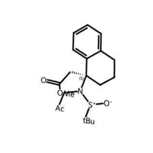 COC(=O)C[C@@]1(N(CC(C)=O)[S+]([O-])C(C)(C)C)CCCc2ccccc21